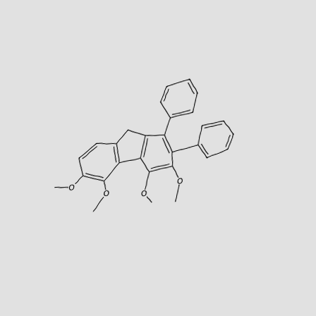 COc1ccc2c(c1OC)-c1c(c(-c3ccccc3)c(-c3ccccc3)c(OC)c1OC)C2